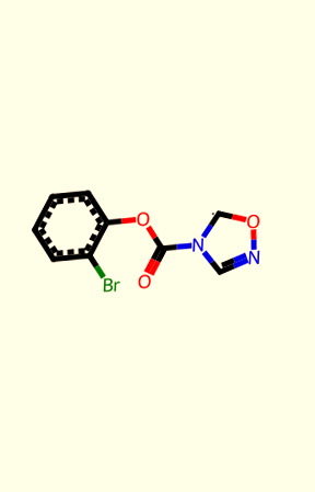 O=C(Oc1ccccc1Br)N1[CH]ON=C1